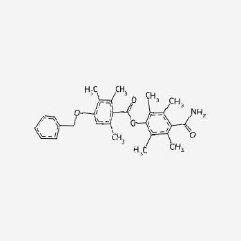 Cc1cc(OCc2ccccc2)c(C)c(C)c1C(=O)Oc1c(C)c(C)c(C(N)=O)c(C)c1C